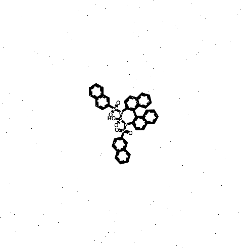 O=P1(O)N(S(=O)(=O)c2ccc3ccccc3c2)c2ccc3ccccc3c2-c2c(ccc3ccccc23)N1S(=O)(=O)c1ccc2ccccc2c1